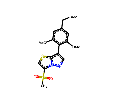 COCc1cc(OC)c(-c2cnn3c(S(C)(=O)=O)csc23)c(OC)c1